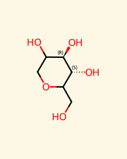 OCC1OCC(O)[C@@H](O)[C@@H]1O